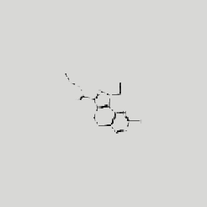 CCOC(=O)c1nn(CC)c2c1CCc1cnc(I)nc1-2